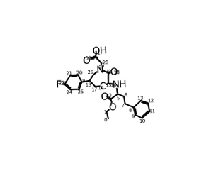 CCOC(=O)C(CCc1ccccc1)NC1CCC(c2ccc(F)cc2)CN(CC(=O)O)C1=O